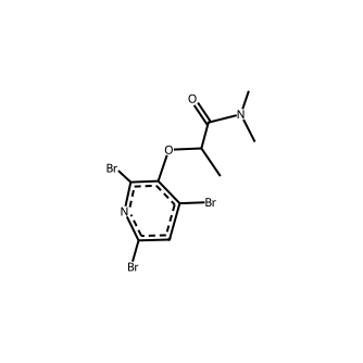 CC(Oc1c(Br)cc(Br)nc1Br)C(=O)N(C)C